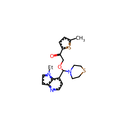 CCn1ccc2nccc(C(OCC(=O)c3ccc(C)s3)N3CCSCC3)c21